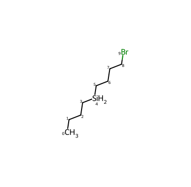 CCCC[SiH2]CCCCBr